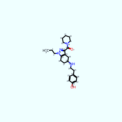 CCCn1nc(C(=O)N2CCCCC2)c2c1CCC(NCCc1ccc(O)cc1)C2